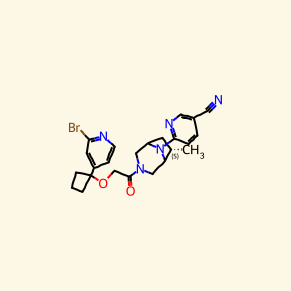 C[C@H]1CC2CN(C(=O)COC3(c4ccnc(Br)c4)CCC3)CC1N2c1ccc(C#N)cn1